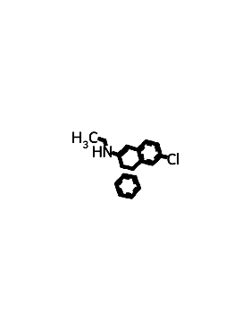 CCNC1=Cc2ccc(Cl)cc2CC1.c1ccccc1